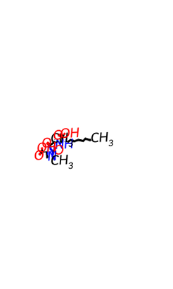 CCCCCCCC[C@H](N[C@@H](C)C(=O)N1C(=O)N(C)C[C@H]1C(=O)O)C(=O)O